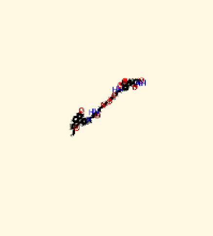 CC#CC12CCC3C4CCC5=CC(=O)CCC5=C4C(c4ccc(N(C)CCCC(=O)NCCCOCCOCCOCCCNc5cccc(C(=O)C(C)C(C)C6CCC(=O)NC6=O)c5C(C)=O)cc4)CC31O2